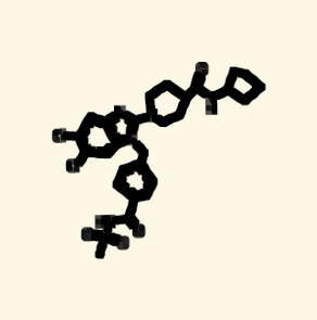 CS(=O)(=O)NC(=O)c1ccc(Cn2c(N3CCC(C(=O)NC4CCCC4)CC3)nc3cc(Cl)c(Cl)cc32)cc1